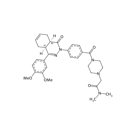 COc1ccc(C2=NN(c3ccc(C(=O)N4CCN(CC(=O)N(C)C)CC4)cc3)C(=O)[C@@H]3CC=CC[C@H]23)cc1OC